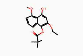 CCOc1cc(O)c2c(OC)cccc2c1OC(=O)C(C)(C)C